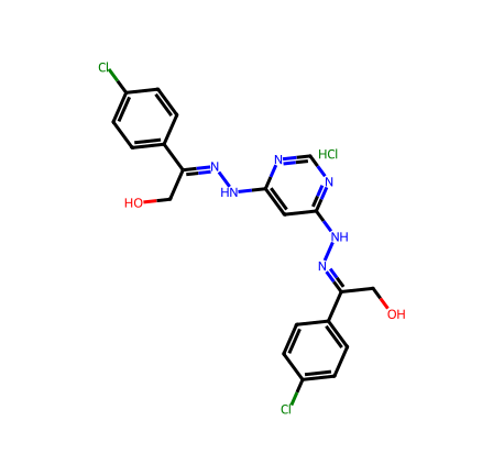 Cl.OCC(=NNc1cc(NN=C(CO)c2ccc(Cl)cc2)ncn1)c1ccc(Cl)cc1